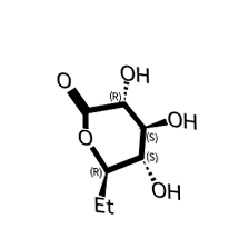 CC[C@H]1OC(=O)[C@H](O)[C@@H](O)[C@@H]1O